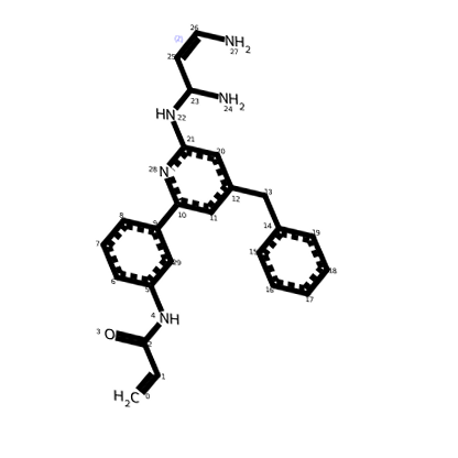 C=CC(=O)Nc1cccc(-c2cc(Cc3ccccc3)cc(NC(N)/C=C\N)n2)c1